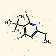 CCc1cc(C)c(C(C)(C)C)c(C)n1